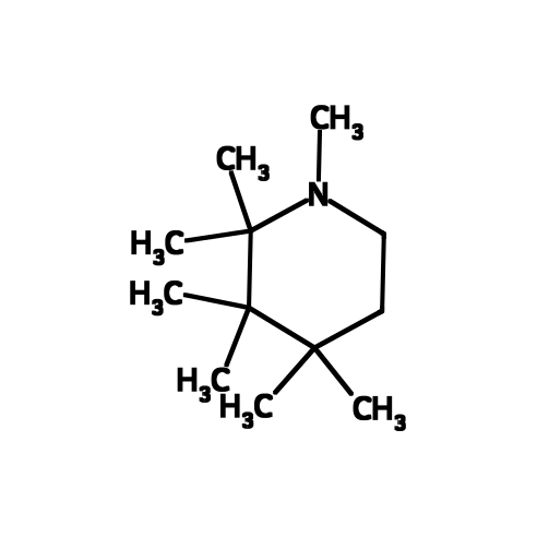 CN1CCC(C)(C)C(C)(C)C1(C)C